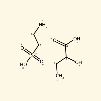 CCC(O)C(=O)O.NCCS(=O)(=O)O